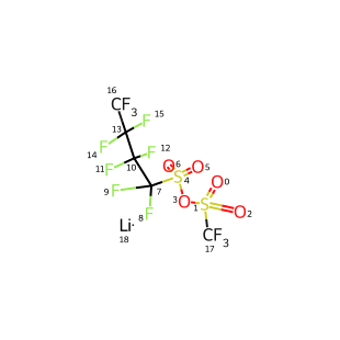 O=S(=O)(OS(=O)(=O)C(F)(F)C(F)(F)C(F)(F)C(F)(F)F)C(F)(F)F.[Li]